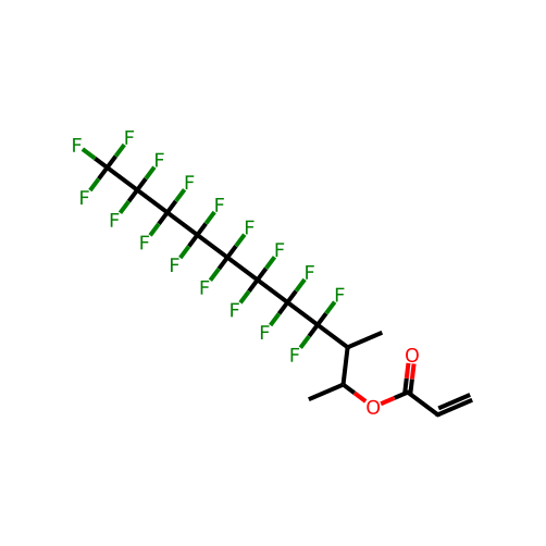 C=CC(=O)OC(C)C(C)C(F)(F)C(F)(F)C(F)(F)C(F)(F)C(F)(F)C(F)(F)C(F)(F)C(F)(F)F